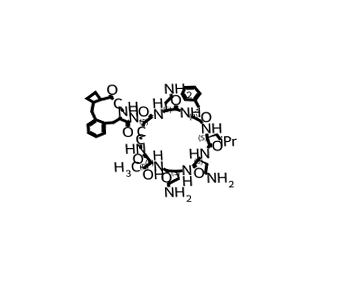 CC(C)C[C@@H]1NC(=O)[C@@H](Cc2ccccc2)NC(=O)[C@H](CCN)NC(=O)[C@@H](NC(=O)C2Cc3ccccc3CC3CCC3C(=O)CN2)CCNC(=O)[C@H]([C@@H](C)O)NC(=O)[C@H](CCN)NC(=O)[C@H](CCN)NC1=O